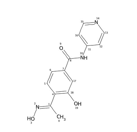 C/C(=N\O)c1ccc(C(=O)Nc2ccncc2)cc1O